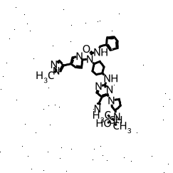 Cn1cc(-c2ccc(N(C(=O)NCc3ccccc3)C3CCC(Nc4ncc(C#N)c(N5CCC(N=[SH](C)(C)O)C5)n4)CC3)nc2)cn1